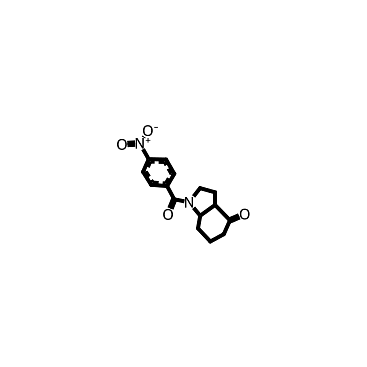 O=C1CCCC2C1CCN2C(=O)c1ccc([N+](=O)[O-])cc1